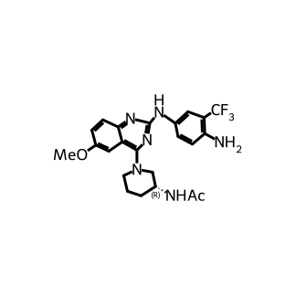 COc1ccc2nc(Nc3ccc(N)c(C(F)(F)F)c3)nc(N3CCC[C@@H](NC(C)=O)C3)c2c1